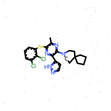 Cc1nc(N2CCC3(CCCC3)CC2)c(-c2ccn[nH]2)nc1Sc1cccc(Cl)c1Cl